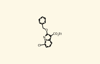 CCOC(=O)c1c(OCc2ccccc2)nn2c(Cl)cccc12